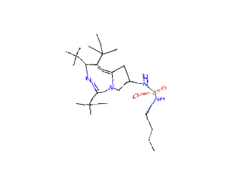 CCCCNS(=O)(=O)NC1CC2=C(C(C)(C)C)C(C(C)(C)C)N=C(C(C)(C)C)N2C1